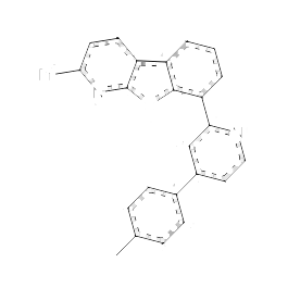 Cc1ccc(-c2ccnc(-c3cccc4c3oc3nc(C(C)C)ccc34)c2)cc1